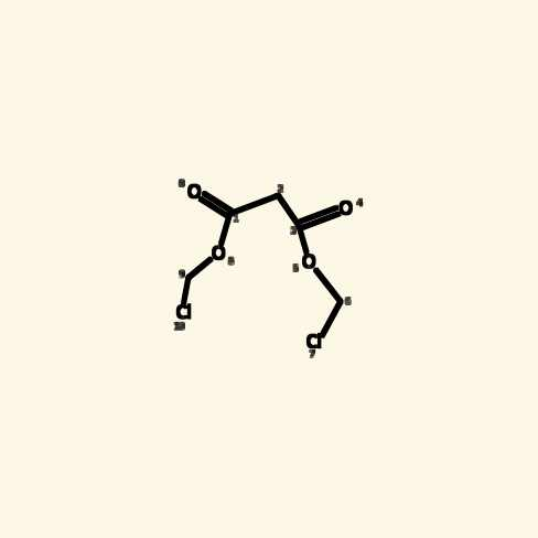 O=C(CC(=O)OCCl)OCCl